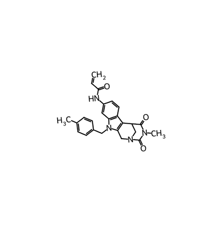 C=CC(=O)Nc1ccc2c3c(n(Cc4ccc(C)cc4)c2c1)CN1CC3C(=O)N(C)C1=O